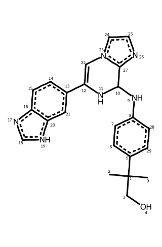 CC(C)(CO)c1ccc(NC2NC(c3ccc4nc[nH]c4c3)=Cn3ccnc32)cc1